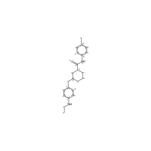 CCNc1ccc(CN2CCCC(C(=O)Nc3ccc(C)cc3)C2)cc1